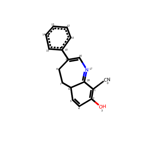 N#CC1=C(O)C=CC2CCC(c3ccccc3)=CN=C12